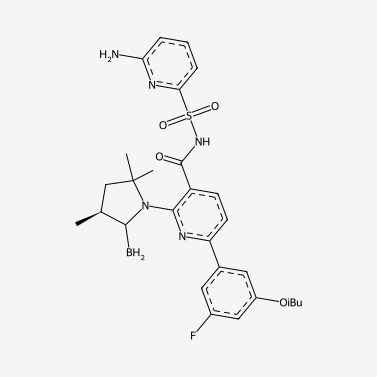 BC1[C@@H](C)CC(C)(C)N1c1nc(-c2cc(F)cc(OCC(C)C)c2)ccc1C(=O)NS(=O)(=O)c1cccc(N)n1